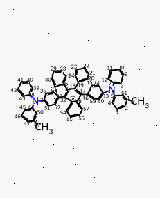 Cc1cccc(N(c2ccccc2)c2ccc(-c3c(-c4ccccc4)c(-c4ccccc4)c(-c4ccc(N(c5ccccc5)c5cccc(C)c5)cc4)c4ccccc34)cc2)c1